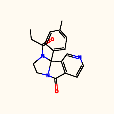 CCC(=O)N1CCN2C(=O)c3ccncc3C12c1ccc(C)cc1